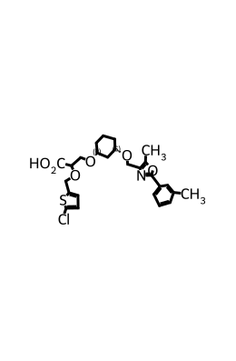 Cc1cccc(-c2nc(CO[C@H]3CCC[C@@H](OCC(OCc4ccc(Cl)s4)C(=O)O)C3)c(C)o2)c1